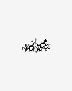 Cc1nc(N[C@H](C)c2cccc(C(F)(F)F)c2)c2cc(Br)c3nncn3c2n1